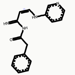 N=C(/C=C\Nc1cccnc1)NC(=O)Cc1ccccc1